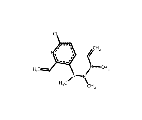 C=Cc1nc(Cl)ccc1N(C)N(C)N(C)C=C